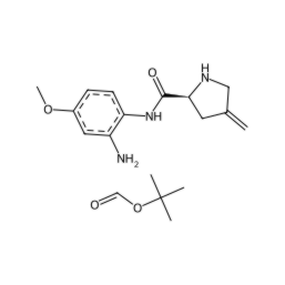 C=C1CN[C@H](C(=O)Nc2ccc(OC)cc2N)C1.CC(C)(C)OC=O